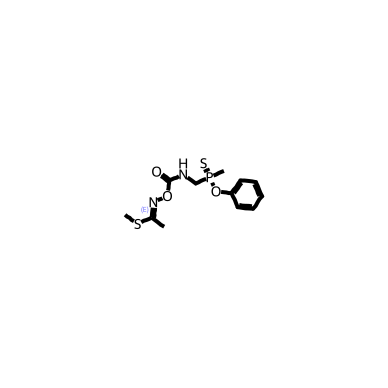 CS/C(C)=N/OC(=O)NCP(C)(=S)Oc1ccccc1